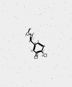 CO/N=C/c1ccc(Cl)c(Cl)c1